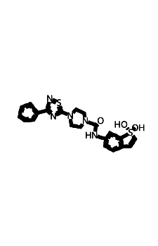 O=C(Nc1ccc2c(c1)S(O)(O)C=C2)N1CCN(c2nc(-c3ccccc3)ns2)CC1